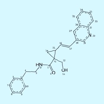 O=C(NCCc1ccccc1)C1(CO)CC1C=Cc1cnc2ccccc2c1